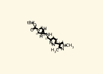 Cc1nn(C)cc1-c1ccc(CNC2[C@H]3CN(C(=O)OC(C)(C)C)C[C@@H]23)nn1